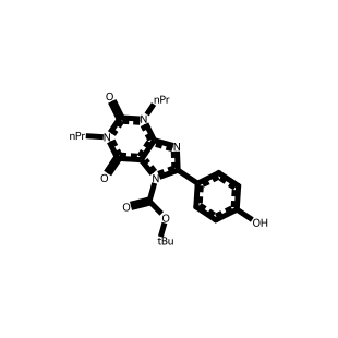 CCCn1c(=O)c2c(nc(-c3ccc(O)cc3)n2C(=O)OC(C)(C)C)n(CCC)c1=O